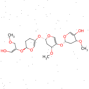 COC/C(=C\O)O[C@H]1CCC(O[C@H]2CC(OC)C(O[C@H]3CC(OC)C(O)=CO3)=CO2)=CO1